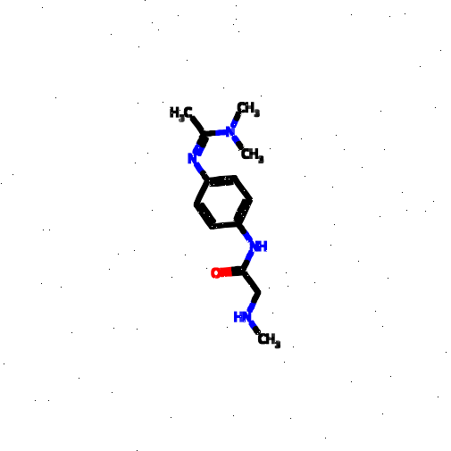 CNCC(=O)Nc1ccc(N=C(C)N(C)C)cc1